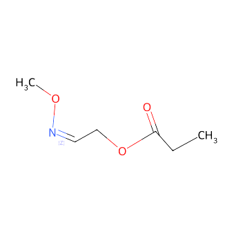 CCC(=O)OC/C=N\OC